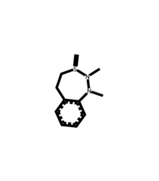 C=S1CCc2ccccc2N(C)N1C